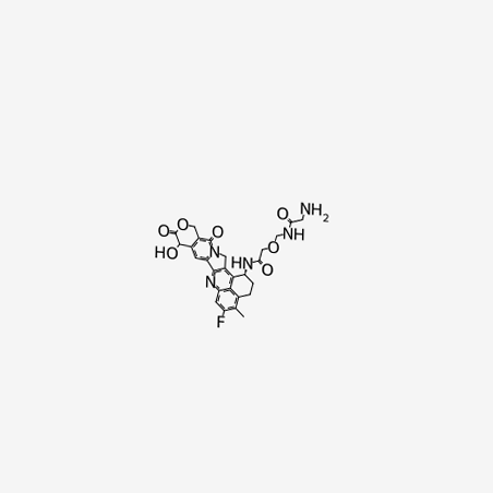 Cc1c(F)cc2nc3c(c4c2c1CC[C@@H]4NC(=O)COCNC(=O)CN)Cn1c-3cc2c(c1=O)COC(=O)C2O